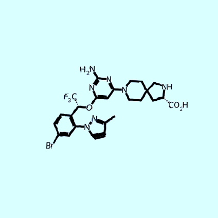 Cc1c#cn(-c2cc(Br)ccc2[C@@H](Oc2cc(N3CCC4(CC3)CN[C@H](C(=O)O)C4)nc(N)n2)C(F)(F)F)n1